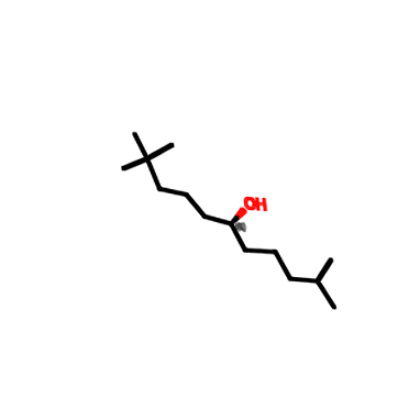 CC(C)CCC[C@H](O)CCCC(C)(C)C